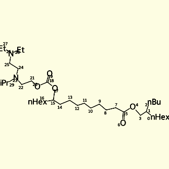 CCCCCCC(CCCC)COC(=O)CCCCCCCCC(CCCCCC)OC(=O)OCCN(CCN(CC)CC)C(C)C